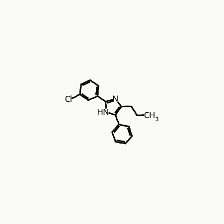 CCCc1nc(-c2cccc(Cl)c2)[nH]c1-c1ccccc1